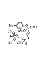 CCOP(=S)(OCC)SCSP(=S)(OCC)OCC.COP(=S)(OC)Oc1ccc(C#N)cc1